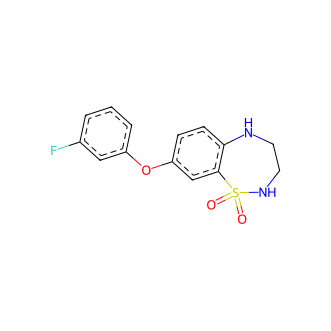 O=S1(=O)NCCNc2ccc(Oc3cccc(F)c3)cc21